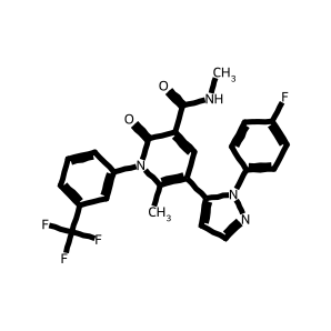 CNC(=O)c1cc(-c2ccnn2-c2ccc(F)cc2)c(C)n(-c2cccc(C(F)(F)F)c2)c1=O